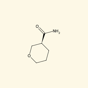 NC(=O)[C@H]1CCCOC1